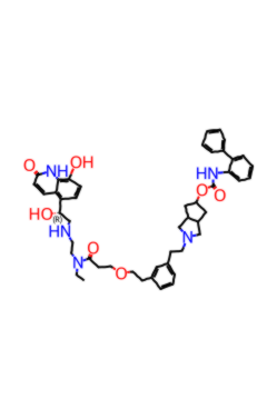 CCN(CCNC[C@H](O)c1ccc(O)c2[nH]c(=O)ccc12)C(=O)CCOCCc1cccc(CCN2CC3CC(OC(=O)Nc4ccccc4-c4ccccc4)CC3C2)c1